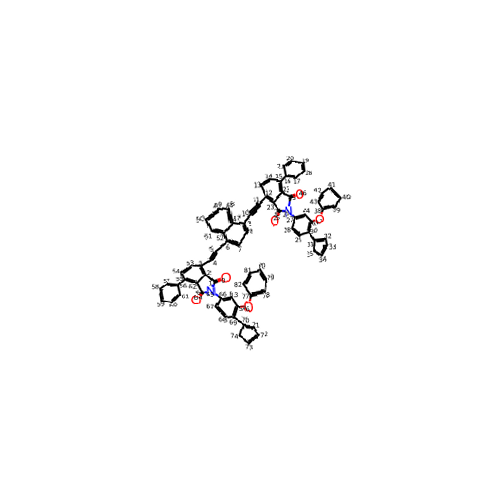 O=C1c2c(C#Cc3ccc(C#Cc4ccc(-c5ccccc5)c5c4C(=O)N(c4ccc(C6=CC=CC6)c(Oc6ccccc6)c4)C5=O)c4ccccc34)ccc(-c3ccccc3)c2C(=O)N1c1ccc(C2=CC=CC2)c(Oc2ccccc2)c1